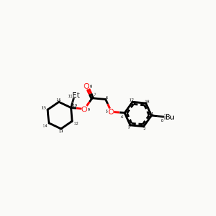 CCC(C)c1ccc(OCC(=O)OC2(CC)CCCCC2)cc1